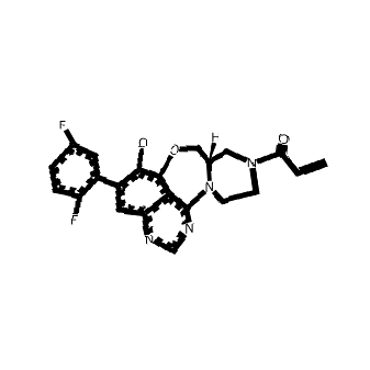 C=CC(=O)N1CCN2c3ncnc4cc(-c5cc(F)ccc5F)c(Cl)c(c34)OC[C@@H]2C1